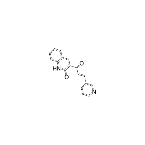 O=C(/C=C/c1cccnc1)c1cc2ccccc2[nH]c1=O